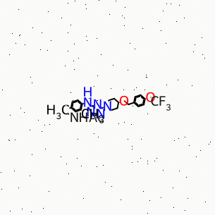 CC(=O)Nc1c(C)ccc(Nc2ncnc(N3CCC(OCc4ccc(OC(F)(F)F)cc4)CC3)n2)c1C